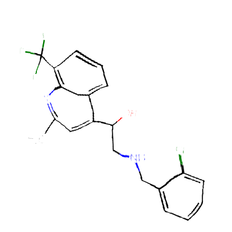 Cc1cc(C(O)CNCc2ccccc2Cl)c2cccc(C(F)(F)F)c2n1